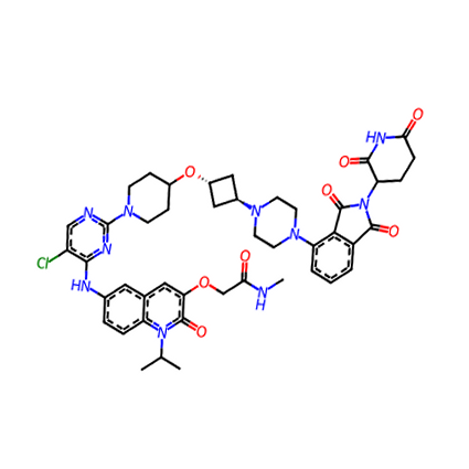 CNC(=O)COc1cc2cc(Nc3nc(N4CCC(O[C@H]5C[C@H](N6CCN(c7cccc8c7C(=O)N(C7CCC(=O)NC7=O)C8=O)CC6)C5)CC4)ncc3Cl)ccc2n(C(C)C)c1=O